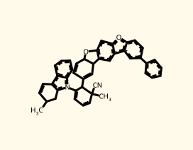 CC1C=Cc2c(n(C3=CC=CC(C)(C#N)C3C3=CC4c5cc6c(cc5OC4C=C3)oc3ccc(-c4ccccc4)cc36)c3ccccc23)C1